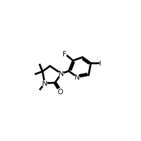 CN1C(=O)N(c2ncc(I)cc2F)CC1(C)C